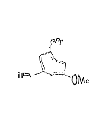 [CH2]C(C)c1cc(CCC)cc(OC)c1